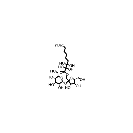 CCCCCCCCCCCCCCCC(O)(O)C(O)(O)C(=O)OC[C@@]1(O[C@H]2O[C@H](CO)[C@@H](O)[C@H](O)[C@H]2O)O[C@H](CO)[C@@H](O)[C@@H]1O